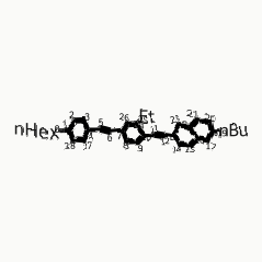 CCCCCCc1ccc(C#Cc2ccc(C#Cc3ccc4cc(CCCC)ccc4c3)c(CC)c2)cc1